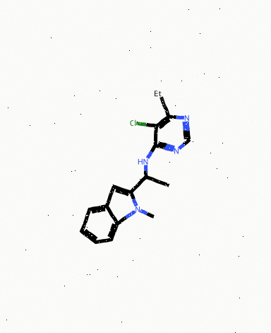 CCc1ncnc(NC(C)c2cc3ccccc3n2C)c1Cl